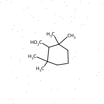 CC1(C)CCCC(C)(C)C1C(=O)O